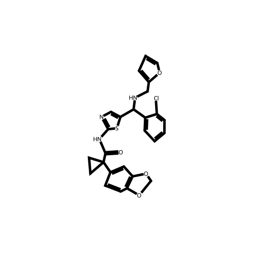 O=C(Nc1ncc(C(NCc2ccco2)c2ccccc2Cl)s1)C1(c2ccc3c(c2)OCO3)CC1